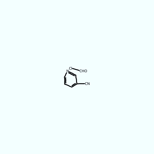 N#Cc1cccnc1.O=CCl